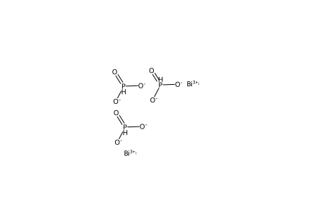 O=[PH]([O-])[O-].O=[PH]([O-])[O-].O=[PH]([O-])[O-].[Bi+3].[Bi+3]